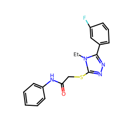 CCn1c(SCC(=O)Nc2ccccc2)nnc1-c1cccc(F)c1